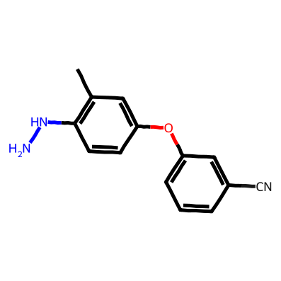 Cc1cc(Oc2cccc(C#N)c2)ccc1NN